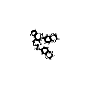 c1coc(-c2cnc(Nc3ccc4c(c3)OCCO4)nc2Nc2ccc3c(c2)OCCO3)c1